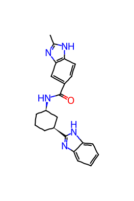 Cc1nc2cc(C(=O)N[C@@H]3CCC[C@H](c4nc5ccccc5[nH]4)C3)ccc2[nH]1